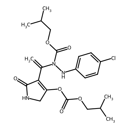 C=C(C1=C(OC(=O)OCC(C)C)CNC1=O)N(Nc1ccc(Cl)cc1)C(=O)OCC(C)C